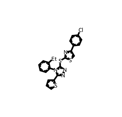 CCc1ccccc1-n1c(Sc2nc(-c3ccc(Cl)cc3)cs2)nnc1-c1cccs1